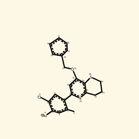 Cc1cc(C(C)(C)C)c(Cl)cc1-c1cc(OCc2ccccc2)c2c(n1)CCCS2